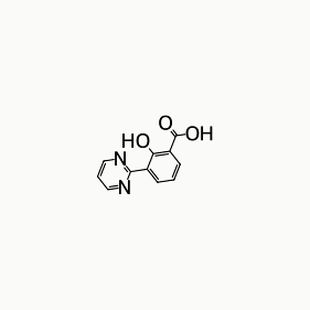 O=C(O)c1cccc(-c2ncccn2)c1O